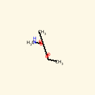 CCCCCC/C=C\COC(=O)CCCCCCCCC(CCCCCCCCC)OC(=O)CCCNC